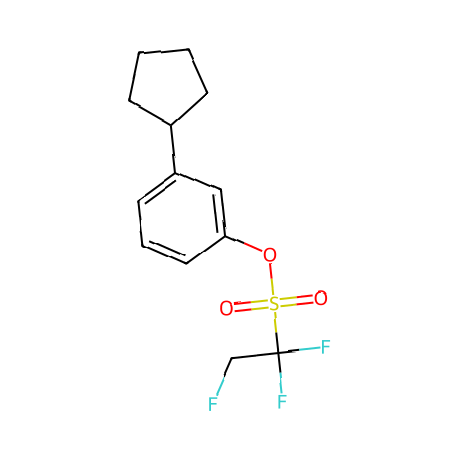 O=S(=O)(Oc1cccc(C2CCCC2)c1)C(F)(F)CF